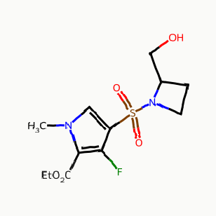 CCOC(=O)c1c(F)c(S(=O)(=O)N2CCC2CO)cn1C